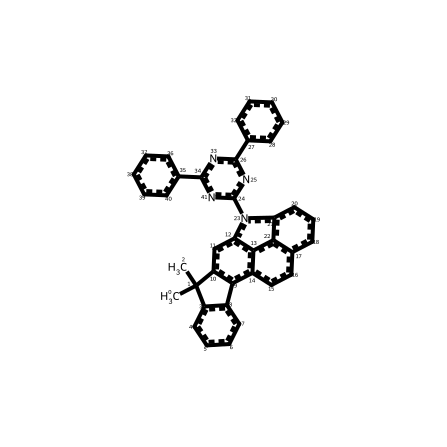 CC1(C)c2ccccc2-c2c1cc1c3c2ccc2cccc(c23)n1-c1nc(-c2ccccc2)nc(-c2ccccc2)n1